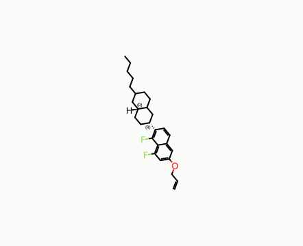 C=CCOc1cc(F)c2c(F)c([C@@H]3CC[C@@H]4CC(CCCCC)CCC4C3)ccc2c1